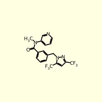 CN(C(=O)c1cccc(Cn2nc(C(F)(F)F)cc2C(F)(F)F)c1)c1cccnc1